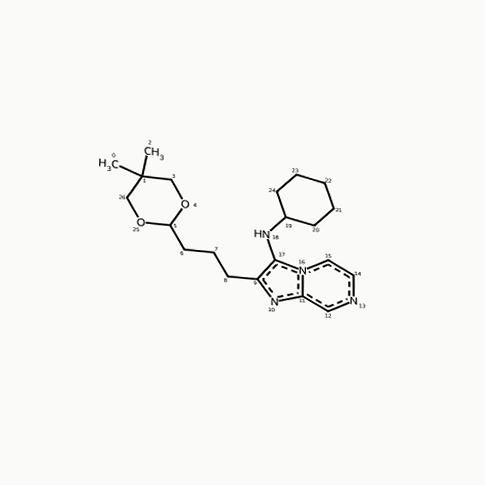 CC1(C)COC(CCCc2nc3cnccn3c2NC2CCCCC2)OC1